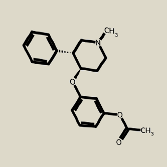 CC(=O)Oc1cccc(O[C@@H]2CCN(C)C[C@H]2c2ccccc2)c1